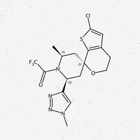 C[C@H]1C[C@@]2(C[C@@H](c3cn(C)nn3)N1C(=O)C(F)(F)F)OCCc1cc(Cl)sc12